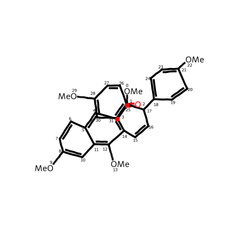 COC(=O)c1cc2ccc(OC)cc2c(OC)c1/C=C\C(c1ccc(OC)cc1)c1ccc(OC)cc1